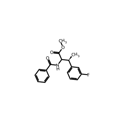 COC(=O)C(NC(=O)c1ccccc1)[C@@H](C)c1cccc(F)c1